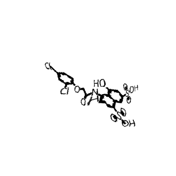 O=C(COc1ccc(Cl)cc1Cl)Nc1ccc(S(=O)(=O)O)c2cc(S(=O)(=O)O)cc(O)c12